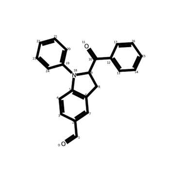 O=Cc1ccc2c(c1)CC(C(=O)c1ccccc1)N2c1ccccc1